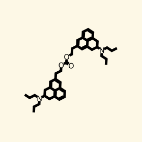 CCCN(CCC)C1Cc2cccc3cc(CCOC(=O)OCCc4cc5c6c(cccc6c4)CC(N(CCC)CCC)C5)cc(c23)C1